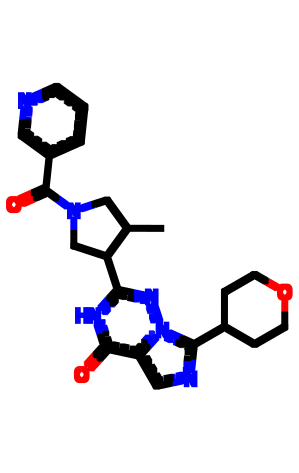 CC1CN(C(=O)c2cccnc2)CC1c1nn2c(C3CCOCC3)ncc2c(=O)[nH]1